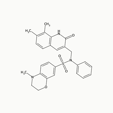 Cc1ccc2cc(CN(c3ccccc3)S(=O)(=O)c3ccc4c(c3)OCCN4C)c(=O)[nH]c2c1C